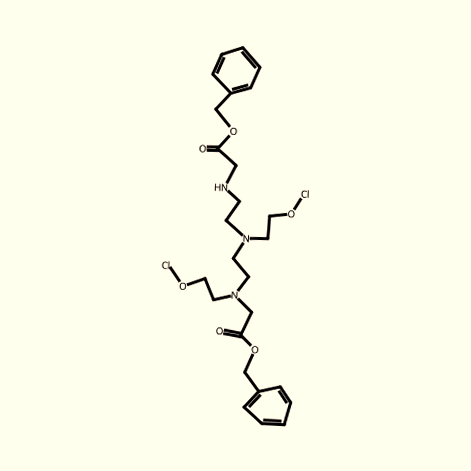 O=C(CNCCN(CCOCl)CCN(CCOCl)CC(=O)OCc1ccccc1)OCc1ccccc1